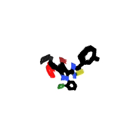 COC(=O)c1nn(-c2ccccc2Cl)c(-c2nsc(-c3cccc(C)c3)n2)c1Br